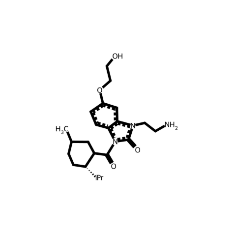 CC1CC[C@@H](C(C)C)C(C(=O)n2c(=O)n(CCN)c3cc(OCCO)ccc32)C1